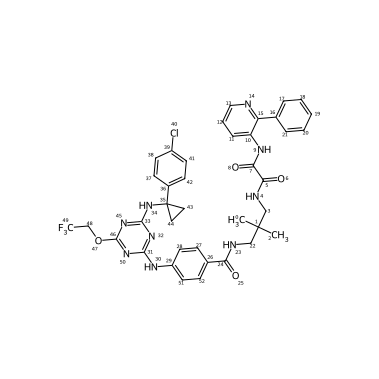 CC(C)(CNC(=O)C(=O)Nc1cccnc1-c1ccccc1)CNC(=O)c1ccc(Nc2nc(NC3(c4ccc(Cl)cc4)CC3)nc(OCC(F)(F)F)n2)cc1